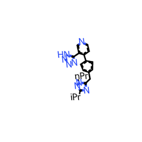 CCCn1nc(C(C)C)nc1Cc1ccc(-c2ccncc2-c2nnn[nH]2)cc1